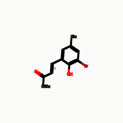 COC(=O)/C=C/c1cc(C(C)(C)C)cc(Br)c1O